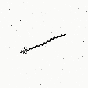 CCCCCCCCC=CCCCCCCCCCCCCC(=O)O